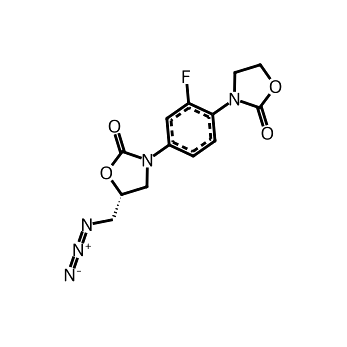 [N-]=[N+]=NC[C@H]1CN(c2ccc(N3CCOC3=O)c(F)c2)C(=O)O1